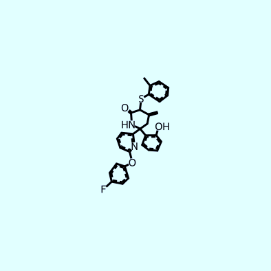 C=C1CC(c2cccc(Oc3ccc(F)cc3)n2)(c2ccccc2O)NC(=O)C1Sc1ccccc1C